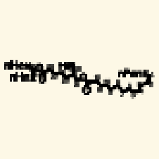 CCCCC/C=C\C/C=C\CCCCCCCC(=O)OCC(CO)CCCCC(=O)OC(CCCCCC)CCCCCC